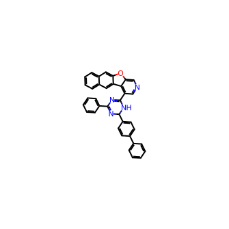 c1ccc(C2=NC(c3ccc(-c4ccccc4)cc3)NC(c3cncc4oc5cc6ccccc6cc5c34)=N2)cc1